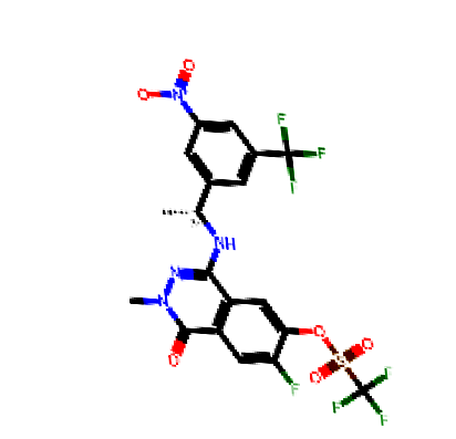 C[C@@H](Nc1nn(C)c(=O)c2cc(F)c(OS(=O)(=O)C(F)(F)F)cc12)c1cc([N+](=O)[O-])cc(C(F)(F)F)c1